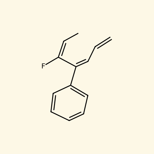 C=C/C=C(\C(F)=C/C)c1ccccc1